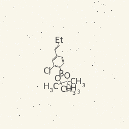 CC/C=C/c1ccc(B2OC(C)(C)C(C)(C)O2)c(Cl)c1